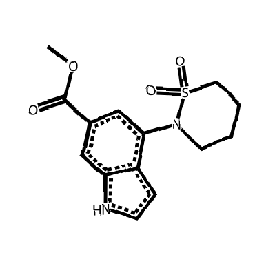 COC(=O)c1cc(N2CCCCS2(=O)=O)c2cc[nH]c2c1